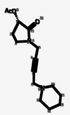 CC(=O)O[C@H]1CCN(CC#CCN2CCCCC2)C1=O